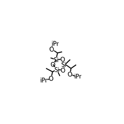 CC(C)OC(C)[Si]1(C)O[Si](C)(C(C)OC(C)C)O[Si](C)(C(C)OC(C)C)O1